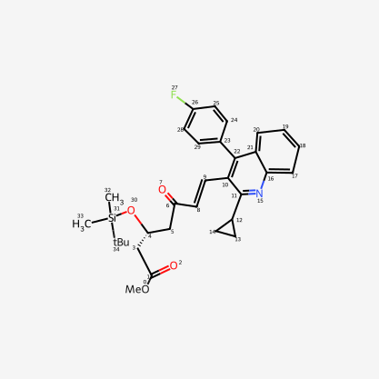 COC(=O)C[C@@H](CC(=O)C=Cc1c(C2CC2)nc2ccccc2c1-c1ccc(F)cc1)O[Si](C)(C)C(C)(C)C